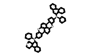 c1ccc(N(c2ccc3c(c2)Oc2ccc4c5c(ccc-3c25)Oc2cc(N(c3ccccc3)c3cc5ccccc5c5ccccc35)ccc2-4)c2cc3ccccc3c3ccccc23)cc1